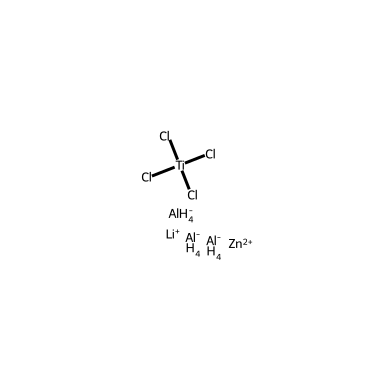 [AlH4-].[AlH4-].[AlH4-].[Cl][Ti]([Cl])([Cl])[Cl].[Li+].[Zn+2]